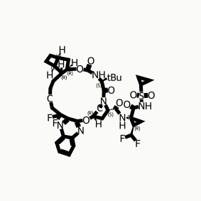 CC(C)(C)[C@@H]1NC(=O)O[C@@H]2C[C@@H]3CC[C@@H]3[C@H]2CCCCC(F)(F)c2nc3ccccc3nc2O[C@@H]2C[C@@H](C(=O)N[C@]3(C(=O)NS(=O)(=O)C4CC4)C[C@H]3C(F)F)N(C2)C1=O